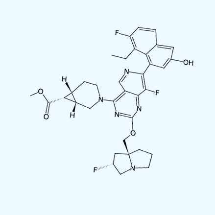 CCc1c(F)ccc2cc(O)cc(-c3ncc4c(N5CC[C@@H]6[C@H](C5)[C@@H]6C(=O)OC)nc(OC[C@@]56CCCN5C[C@H](F)C6)nc4c3F)c12